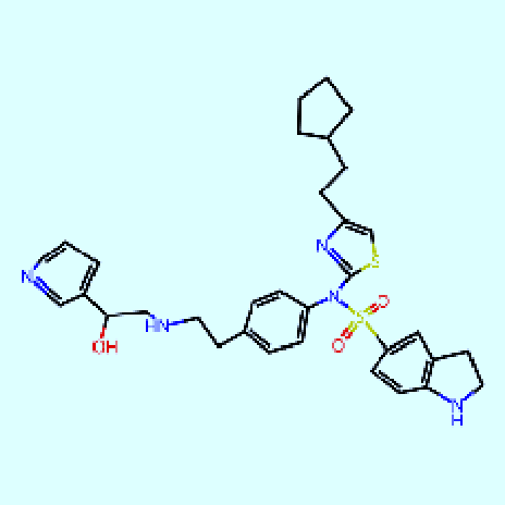 O=S(=O)(c1ccc2c(c1)CCN2)N(c1ccc(CCNCC(O)c2cccnc2)cc1)c1nc(CCC2CCCC2)cs1